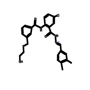 Cc1ccc(/C=N/NC(=O)c2cc(Cl)ccc2NC(=O)c2cccc(CSCCO)c2)cc1C